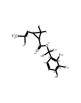 CC1(C)C(C=C(F)C(F)(F)F)C1C(=O)OC(F)(F)c1ccc(F)c(F)c1F